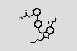 CCCCc1nc2ccc(NC=O)cc2n1Cc1ccc(-c2ccccc2OC(=O)O)cc1